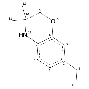 CCc1ccc2c(c1)OCC(C)(C)N2